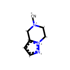 N#CN1CCn2nccc2C1